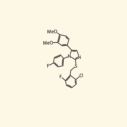 COc1ccc(-c2cnc(SCc3c(F)cccc3Cl)n2-c2ccc(F)cc2)cc1OC